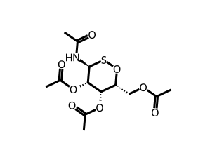 CC(=O)N[C@H]1SO[C@H](COC(C)=O)[C@H](OC(C)=O)[C@@H]1OC(C)=O